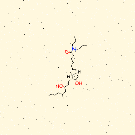 CCCC[C@H](C)C[C@H](O)/C=C/[C@@H]1[C@H]2CC(CCCCC(=O)N(CCC)CCC)=C[C@H]2C[C@H]1O